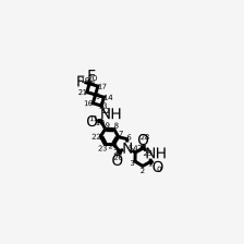 O=C1CCC(N2Cc3cc(C(=O)NC4CC5(C4)CC(F)(F)C5)ccc3C2=O)C(=O)N1